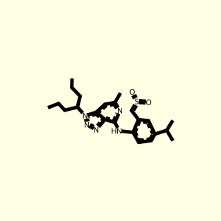 CCCC(CCC)n1nnc2c(Nc3ccc(C(C)C)cc3C=S(=O)=O)nc(C)cc21